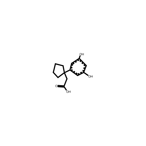 O=C(O)CC1(c2cc(O)cc(O)c2)CCCC1